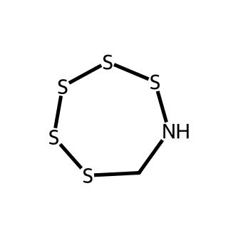 C1NSSSSS1